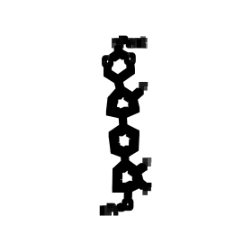 CCCCCC1OCC(c2ccc(-c3ccc(-c4ccc(OCCC)c(F)c4F)cc3)cc2F)CO1